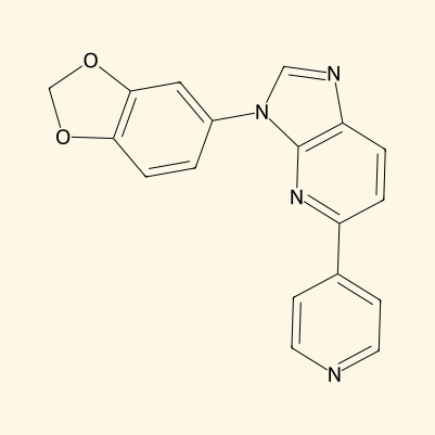 c1cc(-c2ccc3ncn(-c4ccc5c(c4)OCO5)c3n2)ccn1